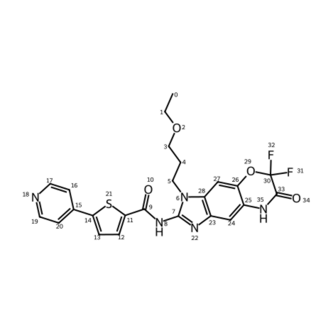 CCOCCCn1c(NC(=O)c2ccc(-c3ccncc3)s2)nc2cc3c(cc21)OC(F)(F)C(=O)N3